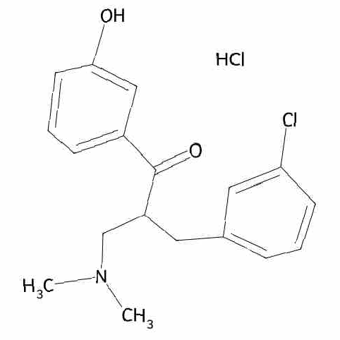 CN(C)CC(Cc1cccc(Cl)c1)C(=O)c1cccc(O)c1.Cl